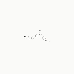 CC1(C)Oc2ccc(Cc3sc4ccccc4c3-c3ccc(-c4ccc(O[C@H](Cc5ccccc5)C(=O)O)cc4)cc3)cc2O1